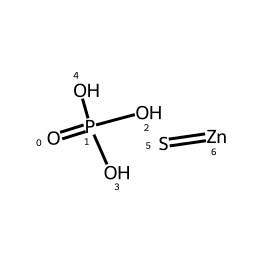 O=P(O)(O)O.[S]=[Zn]